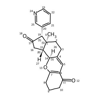 C[C@]12CCC3=CC4=C(CCCC4=O)O[C@H]3[C@@H]1CC(=O)[C@@H]2c1cccnc1